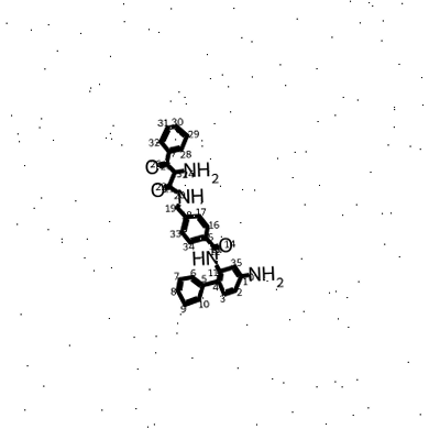 Nc1ccc(-c2ccccc2)c(NC(=O)c2ccc(CNC(=O)C(N)C(=O)c3ccccc3)cc2)c1